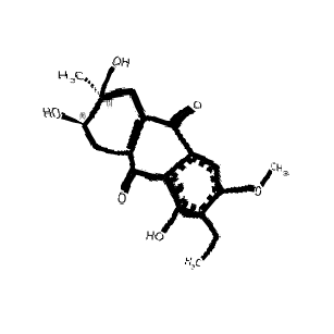 CCc1c(OC)cc2c(c1O)C(=O)C1=C(C[C@](C)(O)[C@H](O)C1)C2=O